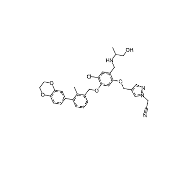 Cc1c(COc2cc(OCc3cnn(CC#N)c3)c(CNC(C)CO)cc2Cl)cccc1-c1ccc2c(c1)OCCO2